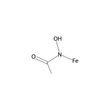 CC(=O)[N](O)[Fe]